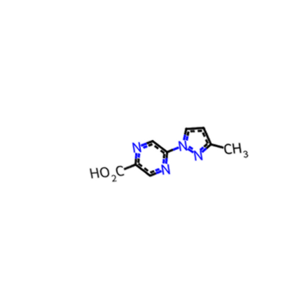 Cc1ccn(-c2cnc(C(=O)O)cn2)n1